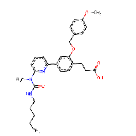 CCCCCNC(=O)N(C)c1cccc(-c2ccc(CCC(=O)O)c(OCc3ccc(OC)cc3)c2)n1